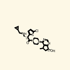 CC1C[C@H](O)c2ncnc(N3CCN(C(=O)[C@H](CNCC4CC4)c4ccc(Cl)s4)CC3)c21